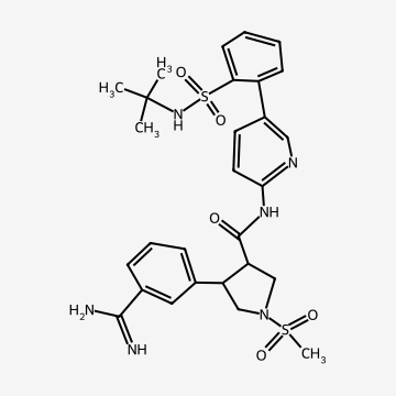 CC(C)(C)NS(=O)(=O)c1ccccc1-c1ccc(NC(=O)C2CN(S(C)(=O)=O)CC2c2cccc(C(=N)N)c2)nc1